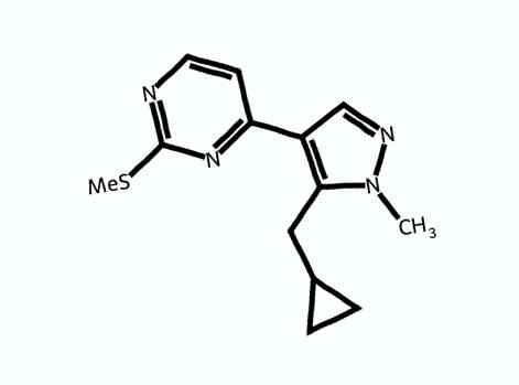 CSc1nccc(-c2cnn(C)c2CC2CC2)n1